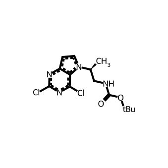 C[C@@H](CNC(=O)OC(C)(C)C)n1ccc2nc(Cl)nc(Cl)c21